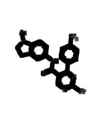 CC(=O)N1CCc2cc(NC(=O)c3cnc(C(C)C)nc3-c3ccc(C(F)(F)F)cc3)ccc21